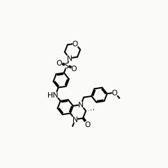 COc1ccc(CN2c3cc(Nc4ccc(S(=O)(=O)N5CCOCC5)cc4)ccc3N(C)C(=O)[C@H]2C)cc1